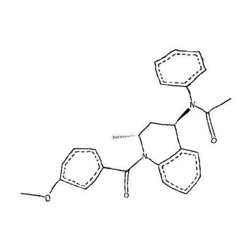 COc1cccc(C(=O)N2c3ccccc3[C@H](N(C(C)=O)c3ccccc3)C[C@H]2C)c1